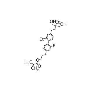 C=C(C)C(=O)OCCCc1ccc(-c2ccc(CCC(CC)(CO)CO)cc2CC)c(F)c1